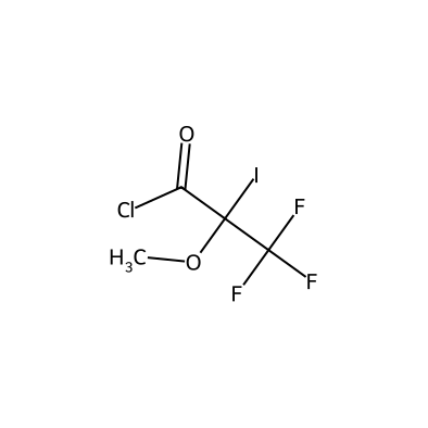 COC(I)(C(=O)Cl)C(F)(F)F